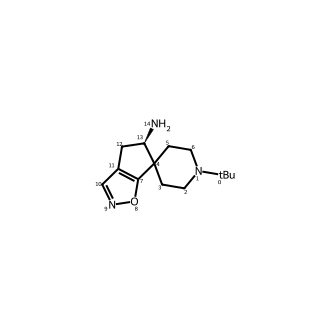 CC(C)(C)N1CCC2(CC1)c1oncc1C[C@H]2N